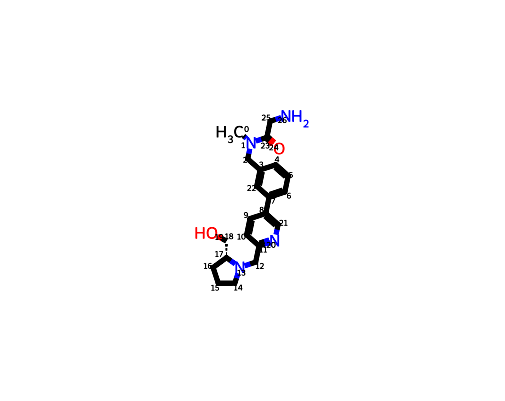 CN(Cc1cccc(-c2ccc(CN3CCC[C@@H]3CO)nc2)c1)C(=O)CN